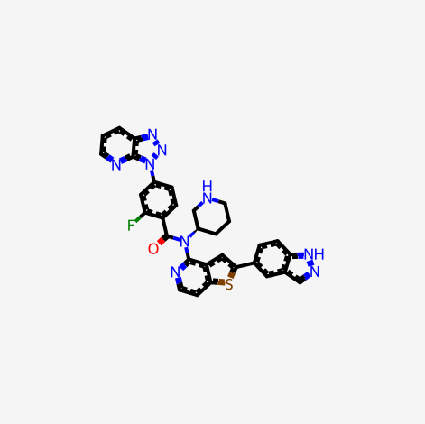 O=C(c1ccc(-n2nnc3cccnc32)cc1F)N(c1nccc2sc(-c3ccc4[nH]ncc4c3)cc12)[C@@H]1CCCNC1